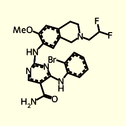 COc1cc2c(cc1Nc1ncc(C(N)=O)c(Nc3ccccc3Br)n1)CN(CC(F)F)CC2